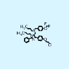 CCCCN(Cc1ccc(OC(F)F)cc1)Cc1c(-c2ccc(OCCCl)cc2)nc(-c2ccccc2)n1CCCC